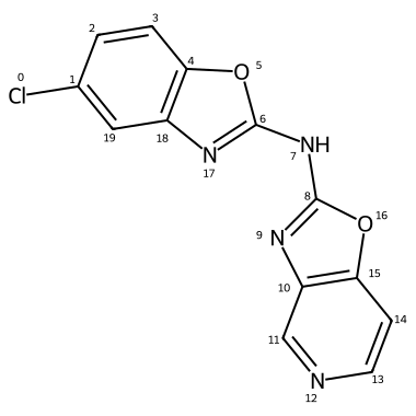 Clc1ccc2oc(Nc3nc4cnccc4o3)nc2c1